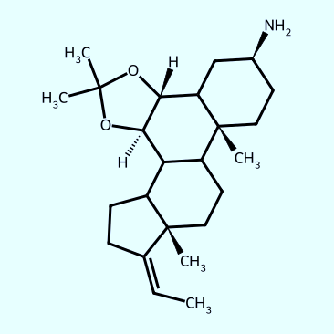 C/C=C1/CCC2C3C(CC[C@]12C)[C@@]1(C)CC[C@H](N)CC1[C@H]1OC(C)(C)O[C@H]31